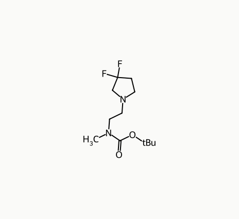 CN(CCN1CCC(F)(F)C1)C(=O)OC(C)(C)C